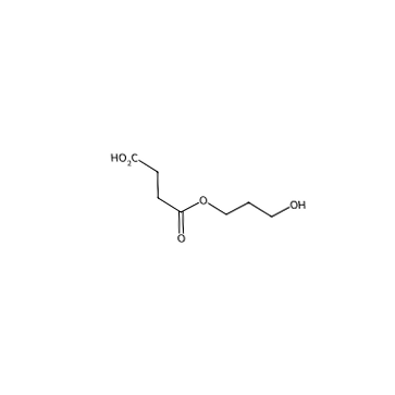 O=C(O)CCC(=O)OCCCO